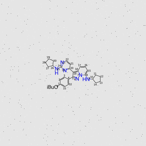 CC(C)COc1ccc(-c2nn3c(NC4CCCC4)cccc3c2-c2ccnc(NC3CCCC3)n2)cc1